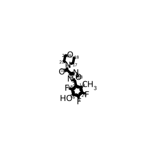 Cc1c(F)c(F)c(O)c(F)c1-c1nc(C(=O)N2CCOCC2)no1